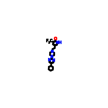 O=c1[nH]cc(CCN2CCN(c3ncc(C4CCCCC4)cn3)CC2)cc1C(F)(F)F